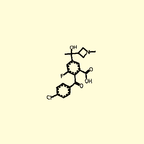 CN1CC(C(C)(O)c2cc(F)c(C(=O)c3ccc(Cl)cc3)c(C(=O)O)c2)C1